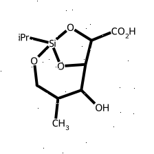 CC1CO[Si]2(C(C)C)OC(C(=O)O)C(O2)C1O